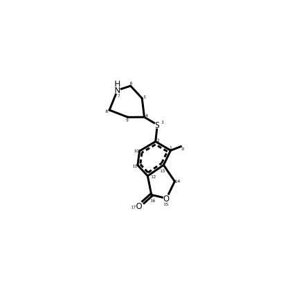 Cc1c(SC2CCNCC2)ccc2c1COC2=O